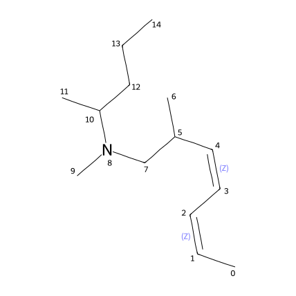 C/C=C\C=C/C(C)CN(C)C(C)CCC